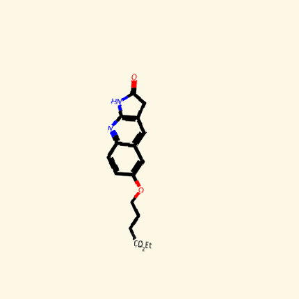 CCOC(=O)CCCOc1ccc2nc3c(cc2c1)CC(=O)N3